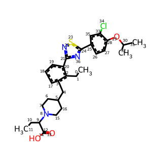 CCc1c(CC2CCN(C(CC)C(=O)O)CC2)cccc1-c1nsc(-c2ccc(OC(C)C)c(Cl)c2)n1